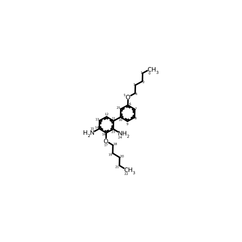 CCCCCOc1cccc(-c2ccc(N)c(OCCCCC)c2N)c1